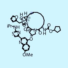 COc1ccc2c(O[C@@H]3C[C@H]4C(=O)N[C@]5(P(=O)(O)Cc6ccco6)C[C@H]5/C=C\CCCCC[C@H](NC(=O)OC5CCCC5)C(=O)N4C3)cc(-c3csc(NC(C)C)n3)nc2c1